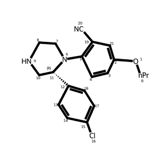 CCCOc1ccc(N2CCNC[C@H]2c2ccc(Cl)cc2)c(C#N)c1